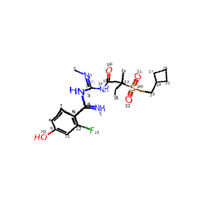 C/N=C(\NC(=N)c1ccc(O)cc1F)NC(=O)C(C)(C)S(=O)(=O)CC1CCC1